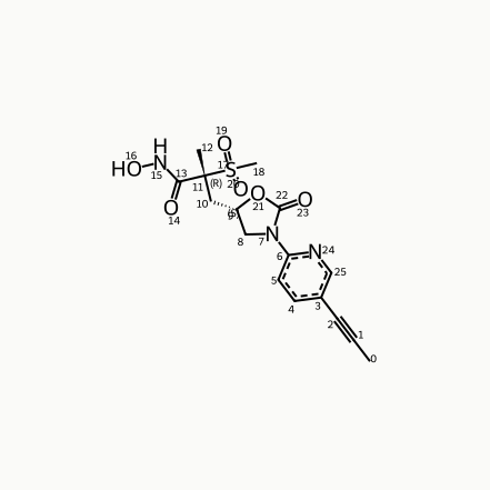 CC#Cc1ccc(N2C[C@H](C[C@](C)(C(=O)NO)S(C)(=O)=O)OC2=O)nc1